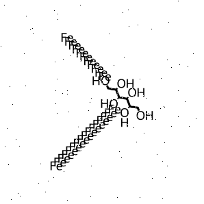 OC[C@@H](O)[C@@H](O)[C@H](O)[C@@H](O)CO.[Fe].[Fe].[Fe].[Fe].[Fe].[Fe].[Fe].[Fe].[Fe].[Fe].[Fe].[Fe].[Fe].[Fe].[Fe].[Fe].[Fe].[Fe].[Fe].[Fe].[Fe].[Fe].[Fe].[Fe].[Fe].[Fe].[Fe]